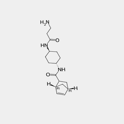 NCCC(=O)N[C@H]1CC[C@H](NC(=O)C2C[C@@H]3C=C[C@H]2C3)CC1